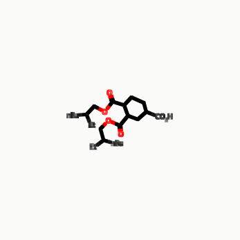 CCCCC(CC)COC(=O)C1CCC(C(=O)O)CC1C(=O)OCC(CC)CCCC